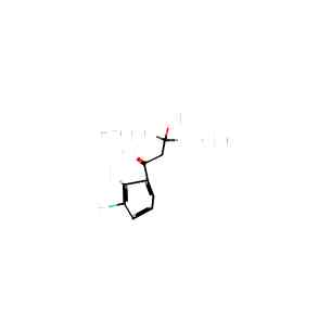 CCOC(=O)C(O)(CC(=O)c1cccc(F)c1F)C(=O)OCC